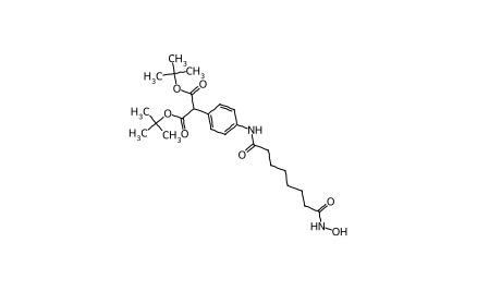 CC(C)(C)OC(=O)C(C(=O)OC(C)(C)C)c1ccc(NC(=O)CCCCCCC(=O)NO)cc1